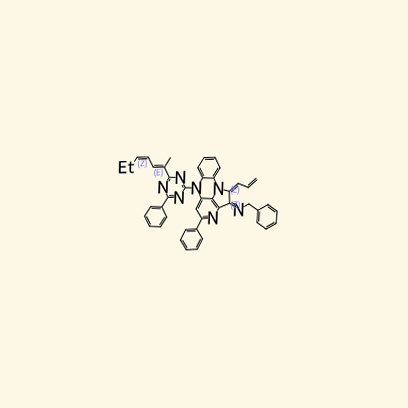 C=C/C=c1\c(=N/Cc2ccccc2)c2nc(-c3ccccc3)cc3c2-n1c1ccccc1n3-c1nc(/C(C)=C/C=C\CC)nc(-c2ccccc2)n1